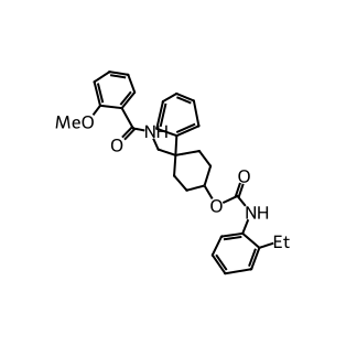 CCc1ccccc1NC(=O)OC1CCC(CNC(=O)c2ccccc2OC)(c2ccccc2)CC1